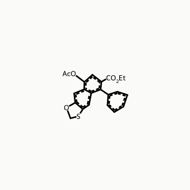 CCOC(=O)c1cc(OC(C)=O)c2cc3c(cc2c1-c1ccccc1)SCO3